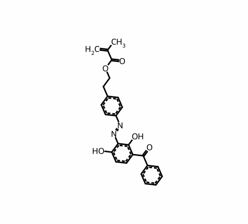 C=C(C)C(=O)OCCc1ccc(N=Nc2c(O)ccc(C(=O)c3ccccc3)c2O)cc1